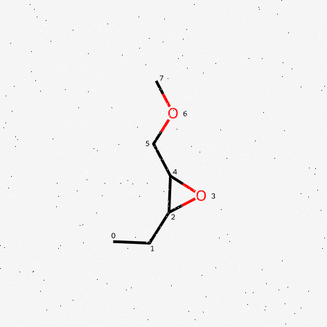 CCC1OC1COC